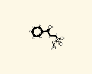 CCOS(=O)(=O)CCC(=O)c1ccccc1